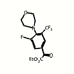 CCOC(=O)C(=O)c1cc(F)c(N2CCOCC2)c(C(F)(F)F)c1